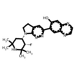 CC1(C)C[C@H](N2CCc3cc(-c4cc5nccnc5cc4O)nnc32)[C@H](F)C(C)(C)N1